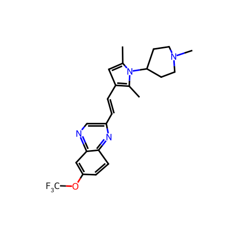 Cc1cc(/C=C/c2cnc3cc(OC(F)(F)F)ccc3n2)c(C)n1C1CCN(C)CC1